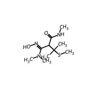 CNC(=O)C(C(=NO)N(C)C)C(C)(C)SC